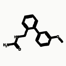 COc1cccc(-c2ccccc2CNC(N)=O)c1